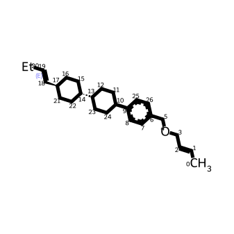 CC=CCOCc1ccc(C2CCC([C@H]3CC[C@H](/C=C/CC)CC3)CC2)cc1